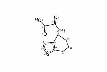 O=C(O)C(=O)O.c1cc2c(s1)CCCC2